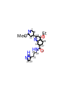 CCOc1cc(-c2ccnc(OC)c2)nc2cc(C(=O)NCCCc3ccn[nH]3)ccc12